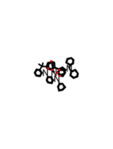 CC1(C)c2ccccc2N(c2cccc(N(c3ccccc3)c3ccccc3)c2-n2c3ccccc3c3cc(N(c4ccccc4)c4ccccc4)ccc32)c2ccccc21